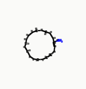 NC1=CCCCCCCCCCCCCCCCCCC1